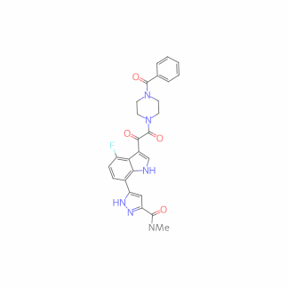 CNC(=O)c1cc(-c2ccc(F)c3c(C(=O)C(=O)N4CCN(C(=O)c5ccccc5)CC4)c[nH]c23)[nH]n1